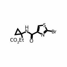 CCOC(=O)C1(NC(=O)c2csc(Br)n2)CC1